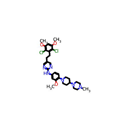 COc1cc(Nc2ncc(CCc3c(Cl)c(OC)cc(OC)c3Cl)cn2)ccc1N1CCC(N2CCN(C)CC2)CC1